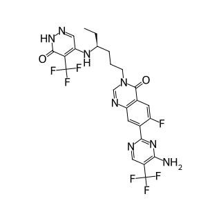 CC[C@@H](CCCn1cnc2cc(-c3ncc(C(F)(F)F)c(N)n3)c(F)cc2c1=O)Nc1cn[nH]c(=O)c1C(F)(F)F